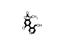 Cn1c(=O)oc2cc(Cl)c(-c3cnccc3CO)cc21